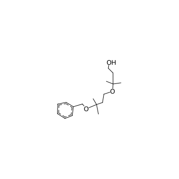 CC(C)(CCO)OCCC(C)(C)OCc1ccccc1